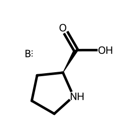 O=C(O)[C@@H]1CCCN1.[B]